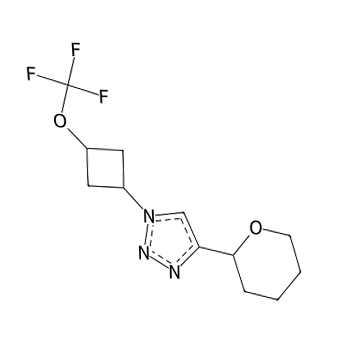 FC(F)(F)OC1CC(n2cc(C3CCCCO3)nn2)C1